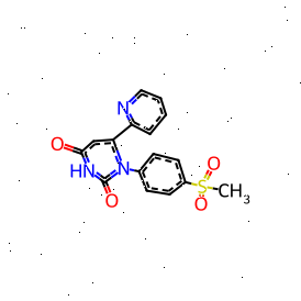 CS(=O)(=O)c1ccc(-n2c(-c3ccccn3)cc(=O)[nH]c2=O)cc1